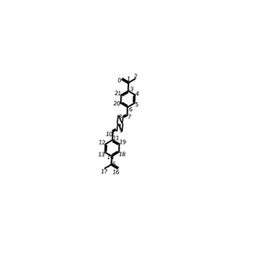 C=C(C)c1ccc(/C=N/N=C/c2ccc(C(=C)C)cc2)cc1